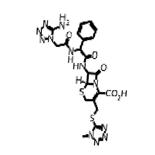 Cn1nnnc1SCC1=C(C(=O)O)N2C(=O)C(NC(=O)C(NC(=O)Cn3nnnc3N)c3ccccc3)[C@H]2SC1